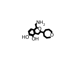 NCC1OC(C2CCCOCCC2)Cc2c1ccc(O)c2O